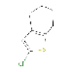 Clc1cc2c(s1)CCCC2